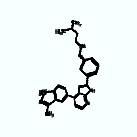 CC(C)CCNCc1cccc(-c2cc3c(-c4ccc5[nH]nc(N)c5c4)ccnc3[nH]2)c1